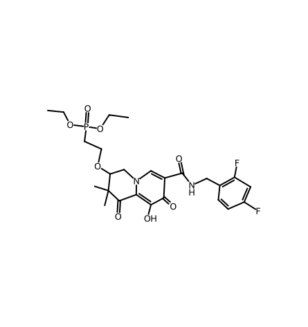 CCOP(=O)(CCOC1Cn2cc(C(=O)NCc3ccc(F)cc3F)c(=O)c(O)c2C(=O)C1(C)C)OCC